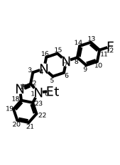 CCn1c(CN2CCN(c3ccc(F)cc3)CC2)nc2ccccc21